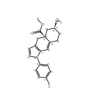 COC(=O)[C@]12Cc3cnn(-c4ccc(F)cc4)c3C=C1CC[C@H](N)C2